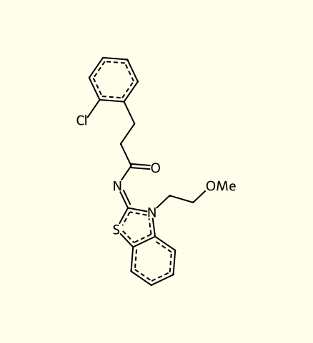 COCCn1c(=NC(=O)CCc2ccccc2Cl)sc2ccccc21